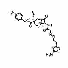 C=CSC1(C(=O)OCc2ccc([N+](=O)[O-])cc2)CS[C@@H]2C(NC(=O)C=NOCCc3nsc(N)n3)C(=O)N2C1